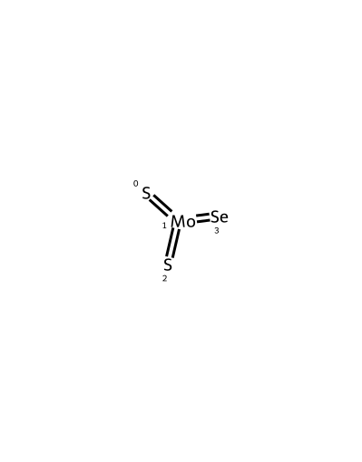 [S]=[Mo](=[S])=[Se]